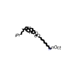 CCCCCCCC/C=C\CCCCCCCCOC(=O)O[C@H]1CC[C@@]2(C)C(=CC[C@H]3[C@@H]4CC[C@H]([C@H](C)CCCC(C)C)[C@@]4(C)CC[C@@H]32)C1